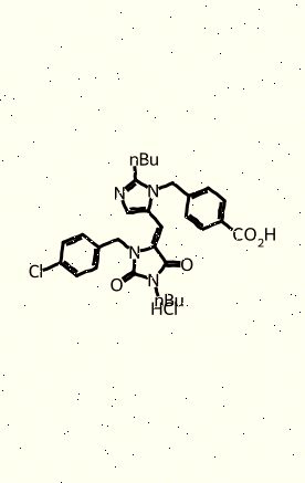 CCCCc1ncc(/C=C2/C(=O)N(CCCC)C(=O)N2Cc2ccc(Cl)cc2)n1Cc1ccc(C(=O)O)cc1.Cl